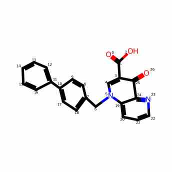 O=C(O)c1cn(Cc2ccc(-c3ccccc3)cc2)c2cccnc2c1=O